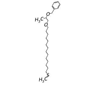 CSCCCCCCCCCCCCCCOCC(C)OCc1ccccc1